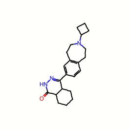 O=C1NN=C(c2ccc3c(c2)CCN(C2CCC2)CC3)C2CCCCC12